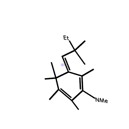 CCC(C)(C)/C=C1\C(C)=C(NC)C(C)=C(C)C1(C)C